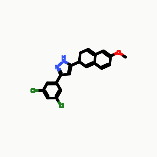 COc1ccc2c(c1)=CCC(c1cc(-c3cc(Cl)cc(Cl)c3)n[nH]1)C=2